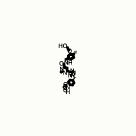 Cc1nc(C(=O)NCc2ccc(F)c(OCCO)c2)cc(-c2nnn(C[C@H]3CC[C@H](NS(C)(=O)=O)CC3)n2)n1